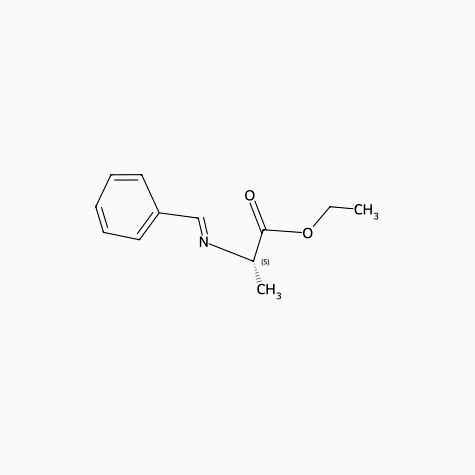 CCOC(=O)[C@H](C)N=Cc1ccccc1